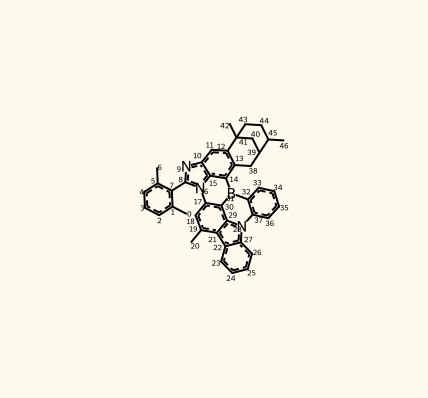 Cc1cccc(C)c1-c1nc2cc3c(c4c2n1-c1cc(C)c2c5ccccc5n5c2c1B4c1ccccc1-5)CC1CC3(C)CCC1C